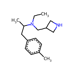 CCN(CC1CNC1)C(C)Cc1ccc(C)cc1